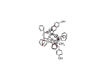 C[Si]1(CCc2ccc(O)cc2)O[Si]2(c3ccccc3)O[Si]3(c4ccccc4)O[Si]4(c5ccccc5)O[Si](C)(CCc5ccc(O)cc5)O[Si]5(c6ccccc6)OC[Si]6(O[Si](c7ccccc7)(OC6(c6ccccc6)[Si](c6ccccc6)(O5)O[Si](c5ccccc5)(O2)O4)O1)O3